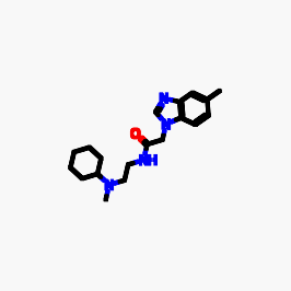 Cc1ccc2c(c1)ncn2CC(=O)NCCN(C)C1CCCCC1